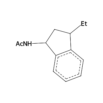 CCC1CC(NC(C)=O)c2ccccc21